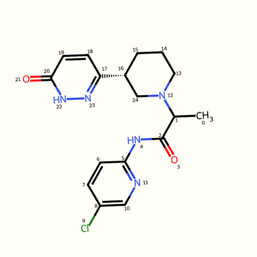 CC(C(=O)Nc1ccc(Cl)cn1)N1CCC[C@@H](c2ccc(=O)[nH]n2)C1